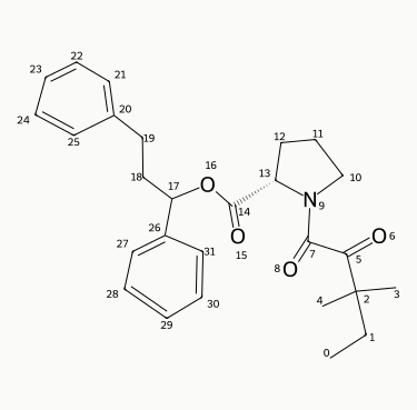 CCC(C)(C)C(=O)C(=O)N1CCC[C@H]1C(=O)OC(CCc1ccccc1)c1ccccc1